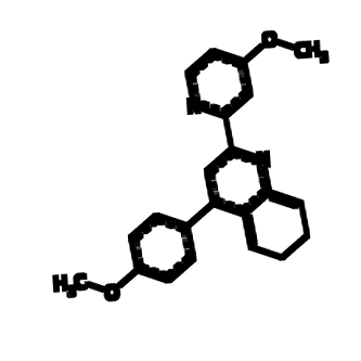 COc1ccc(-c2cc(-c3cc(OC)ccn3)nc3c2=CCCC=3)cc1